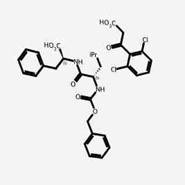 CC(C)C[C@H](NC(=O)OCc1ccccc1)C(=O)N[C@@H](Cc1ccccc1)C(=O)O.O=C(O)CC(=O)c1c(Cl)cccc1Cl